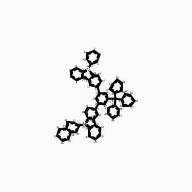 c1ccc(-n2c3ccccc3c3cc(-c4cc(-c5ccc6c(c5)c5ccccc5n6-c5ccc6ccccc6c5)cc(C(c5ccccc5)(c5ccccc5)c5ccccc5)c4)ccc32)cc1